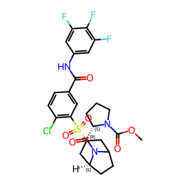 COC(=O)N1CCC[C@H]1C(=O)N1C2CC[C@H]1C[C@H](S(=O)(=O)c1cc(C(=O)Nc3cc(F)c(F)c(F)c3)ccc1Cl)C2